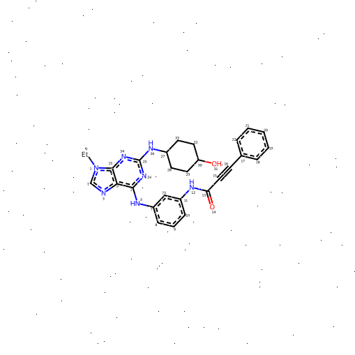 CCn1cnc2c(Nc3cccc(NC(=O)C#Cc4ccccc4)c3)nc(NC3CCC(O)CC3)nc21